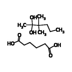 CCCC(C)(C)C(C)(O)O.O=C(O)CCCCC(=O)O